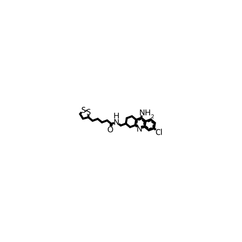 Nc1c2c(nc3cc(Cl)ccc13)CC(CNC(=O)CCCCC1CCSS1)CC2